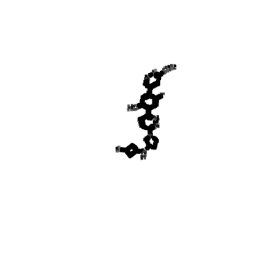 COc1cc(-c2cc(O)c(-c3ccc(N4CCC(NC5CC(F)C5)C4)nn3)cc2F)cnn1